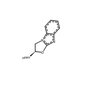 CCCCCC[C@H]1Cn2c(nc3ccccc32)O1